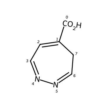 O=C(O)C1=CC=NN=CC1